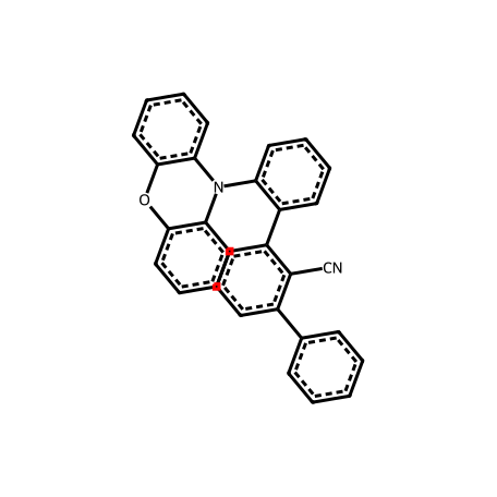 N#Cc1c(-c2ccccc2)cccc1-c1ccccc1N1c2ccccc2Oc2ccccc21